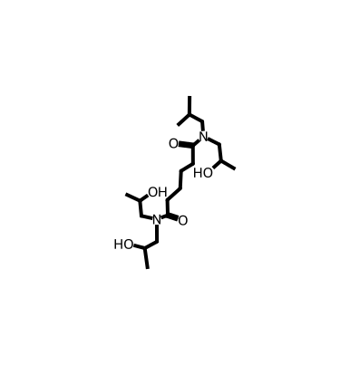 CC(C)CN(CC(C)O)C(=O)CCCCC(=O)N(CC(C)O)CC(C)O